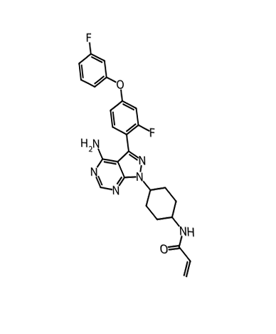 C=CC(=O)NC1CCC(n2nc(-c3ccc(Oc4cccc(F)c4)cc3F)c3c(N)ncnc32)CC1